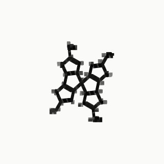 CC(C)c1cc2c(s1)-c1sc(C(C)(C)C)cc1C21c2cc(C(C)C)sc2-c2sc(C(C)(C)C)cc21